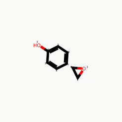 C1CO1.Oc1ccccc1